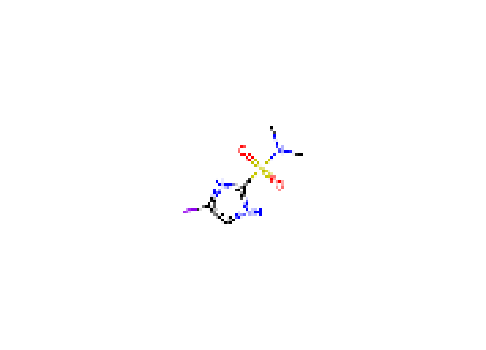 CN(C)S(=O)(=O)c1nc(I)c[nH]1